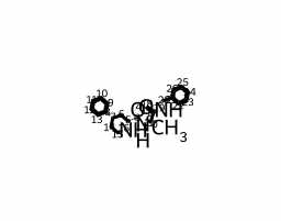 CC(NC(=O)[C@H]1C[C@@H](c2ccccc2)CCN1)C(=O)NCc1ccccc1